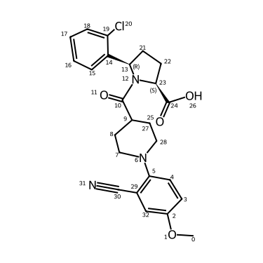 COc1ccc(N2CCC(C(=O)N3[C@@H](c4ccccc4Cl)CC[C@H]3C(=O)O)CC2)c(C#N)c1